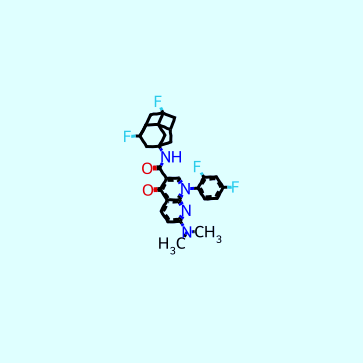 CN(C)c1ccc2c(=O)c(C(=O)NC34CC5CC6(F)CC(F)(C3)CC56C4)cn(-c3ccc(F)cc3F)c2n1